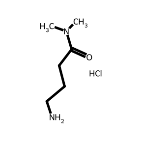 CN(C)C(=O)CCCN.Cl